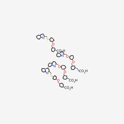 O=C(O)CCc1cccc(COc2cccc(OCc3ccc4ccccc4n3)c2)c1.O=C(O)Cc1cccc(COc2cccc(OCc3ccc4ccccc4n3)c2)c1.O=C(O)c1ccc(COc2ccc(SCc3ccc4ccccc4n3)cc2)cc1.O=C(O)c1cccc(COc2cccc(SCc3ccc4ccccc4n3)c2)c1